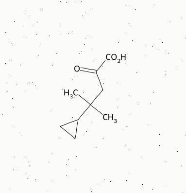 CC(C)(CC(=O)C(=O)O)C1CC1